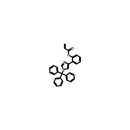 C=CC(=O)Oc1ccccc1-c1cn(C(c2ccccc2)(c2ccccc2)c2ccccc2)cn1